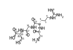 N=C(N)NCCC[C@H](NC(=O)CN)C(=O)NCC(=O)N[C@@H](CS)C(=O)O